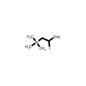 CC(=O)OC(I)C[N+](C)(C)C